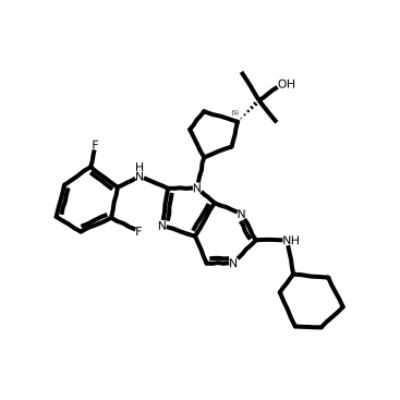 CC(C)(O)[C@H]1CCC(n2c(Nc3c(F)cccc3F)nc3cnc(NC4CCCCC4)nc32)C1